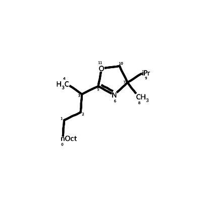 CCCCCCCCCCC(C)C1=NC(C)(C(C)C)CO1